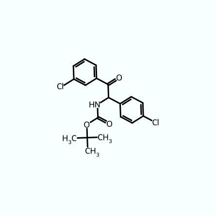 CC(C)(C)OC(=O)NC(C(=O)c1cccc(Cl)c1)c1ccc(Cl)cc1